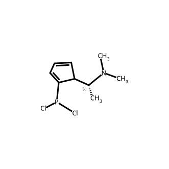 C[C@H](C1C=CC=C1P(Cl)Cl)N(C)C